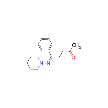 CC(=O)CC/C(=N/N1CCCCC1)c1ccccc1